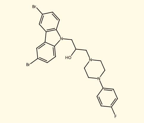 OC(CN1CCN(c2ccc(F)cc2)CC1)Cn1c2ccc(Br)cc2c2cc(Br)ccc21